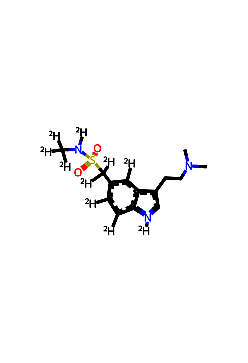 [2H]c1c(C([2H])([2H])S(=O)(=O)N([2H])C([2H])([2H])[2H])c([2H])c2c(CCN(C)C)cn([2H])c2c1[2H]